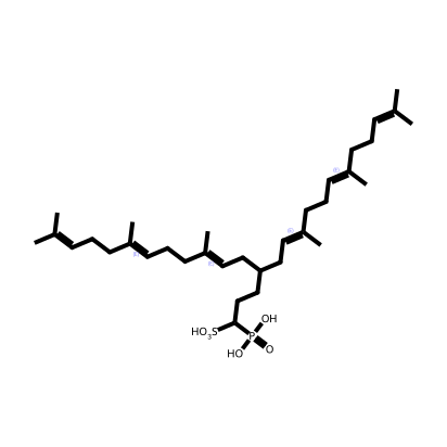 CC(C)=CCC/C(C)=C/CC/C(C)=C/CC(C/C=C(\C)CC/C=C(\C)CCC=C(C)C)CCC(P(=O)(O)O)S(=O)(=O)O